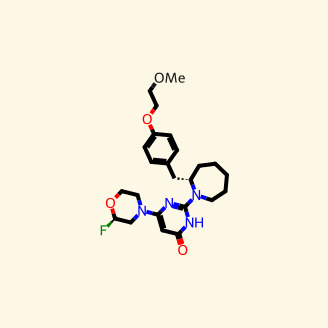 COCCOc1ccc(C[C@@H]2CCCCCN2c2nc(N3CCO[C@H](F)C3)cc(=O)[nH]2)cc1